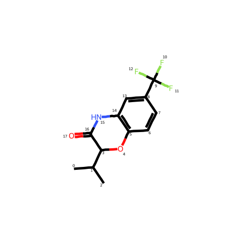 CC(C)C1Oc2ccc(C(F)(F)F)cc2NC1=O